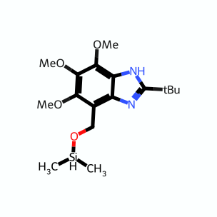 COc1c(OC)c(OC)c2[nH]c(C(C)(C)C)nc2c1CO[SiH](C)C